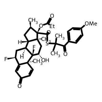 CCC(=O)O[C@]1(C(=O)SC(C)(C)C(=O)c2ccc(OC)cc2)[C@H](C)C[C@H]2[C@@H]3C[C@H](F)C4=CC(=O)C=C[C@]4(C)[C@@]3(F)[C@@H](O)C[C@@]21C